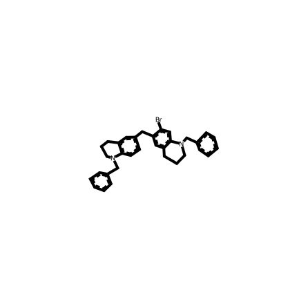 Brc1cc2c(cc1Cc1ccc3c(c1)CCCN3Cc1ccccc1)CCCN2Cc1ccccc1